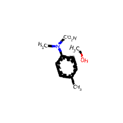 CO.Cc1ccc(N(C)C(=O)O)cc1